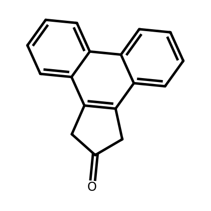 O=C1Cc2c(c3ccccc3c3ccccc23)C1